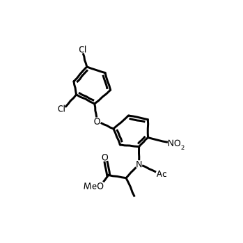 COC(=O)C(C)N(C(C)=O)c1cc(Oc2ccc(Cl)cc2Cl)ccc1[N+](=O)[O-]